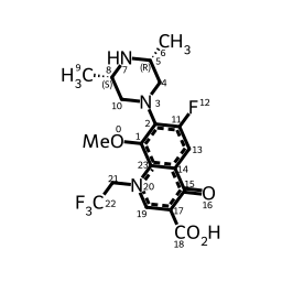 COc1c(N2C[C@@H](C)N[C@@H](C)C2)c(F)cc2c(=O)c(C(=O)O)cn(CC(F)(F)F)c12